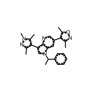 Cc1noc(C)c1-c1cnc2c(-c3c(C)nn(C)c3C)cn(C(C)c3ccccc3)c2c1